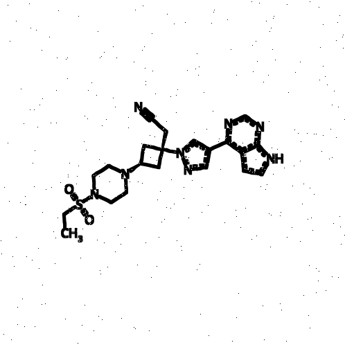 CCS(=O)(=O)N1CCN([C@H]2C[C@](CC#N)(n3cc(-c4ncnc5[nH]ccc45)cn3)C2)CC1